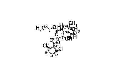 C=CCOC(=O)NC(C(O)COC(=O)c1c(Cl)cccc1Cl)C(C(=O)O)C(C)(C)C